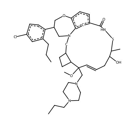 CCCc1cc(Cl)ccc1C1COc2ccc3cc2N(C1)CC1CCC1C(CN1CCN(CCC)CC1)(OC)/C=C/CC(O)C(C)SNC3=O